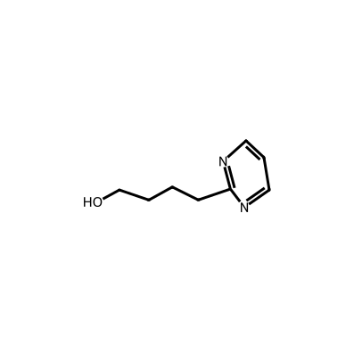 OCCCCc1ncccn1